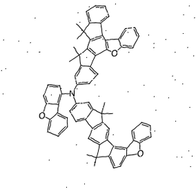 CC1(C)c2cc(N(c3ccc4c(c3)C(C)(C)c3c5c(c6c(oc7ccccc76)c3-4)-c3ccccc3C5(C)C)c3cccc4oc5ccccc5c34)ccc2-c2cc3c(cc21)-c1c(ccc2oc4ccccc4c12)C3(C)C